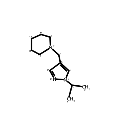 CC(C)n1cc(CN2CCCCC2)cn1